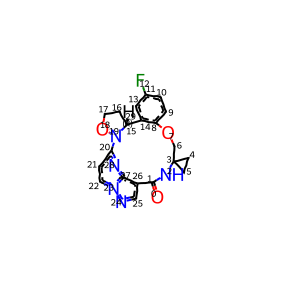 O=C1NC2(CC2)COc2ccc(F)cc2[C@H]2CCON2c2ccn3ncc1c3n2